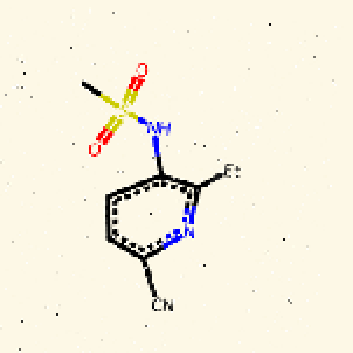 CCc1nc(C#N)ccc1NS(C)(=O)=O